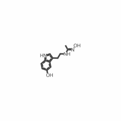 C/C(=N\O)NCCc1c[nH]c2ccc(O)cc12